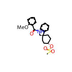 COc1ccccc1C(=O)NC[C@]1(c2ccccc2)CC[C@@H](OS(C)(=O)=O)CC1